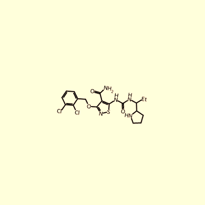 CCC(NC(=O)Nc1snc(OCc2cccc(Cl)c2Cl)c1C(N)=O)C1CCCN1